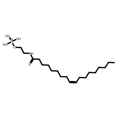 CCCCCCCC/C=C\CCCCCCCC(=O)NCCO[PH](O)(O)O